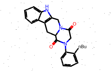 CCCCc1ccccc1N1CC(=O)N2Cc3[nH]c4ccccc4c3CC2C1=O